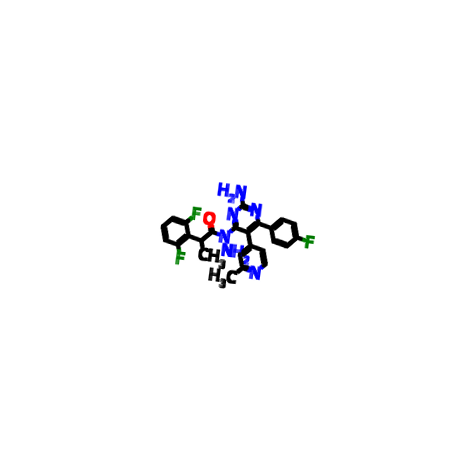 Cc1cc(-c2c(-c3ccc(F)cc3)nc(N)nc2N(N)C(=O)C(C)c2c(F)cccc2F)ccn1